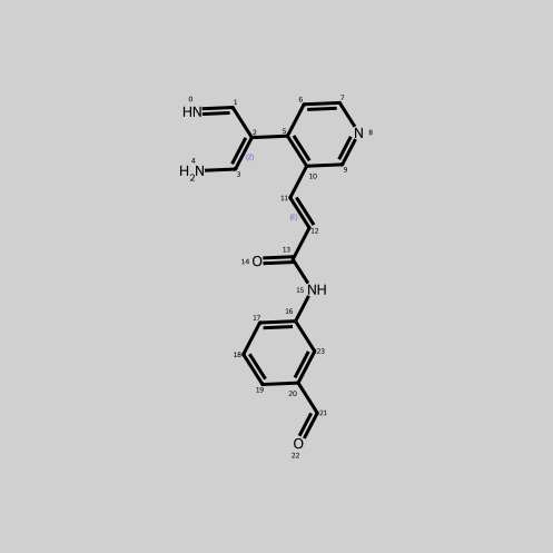 N=C/C(=C\N)c1ccncc1/C=C/C(=O)Nc1cccc(C=O)c1